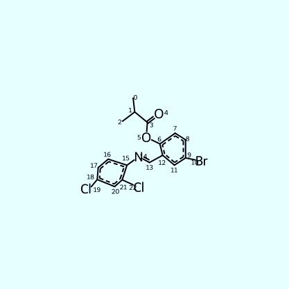 CC(C)C(=O)Oc1ccc(Br)cc1C=Nc1ccc(Cl)cc1Cl